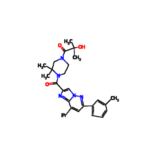 Cc1cccc(-c2cc(C(C)C)c3nc(C(=O)N4CCN(C(=O)C(C)(C)O)CC4(C)C)cn3n2)c1